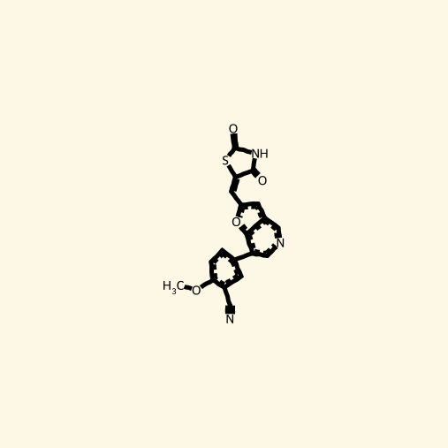 COc1ccc(-c2cncc3cc(/C=C4/SC(=O)NC4=O)oc23)cc1C#N